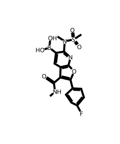 CNC(=O)c1c(-c2ccc(F)cc2)oc2nc(N(C)S(C)(=O)=O)c(B(O)O)cc12